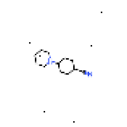 N#CC1CCC(N2CCCCC2)CC1